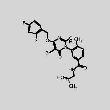 Cc1ccc(C(=O)NC[C@H](C)O)cc1-n1c(C)nc(OCc2ccc(F)cc2F)c(Br)c1=O